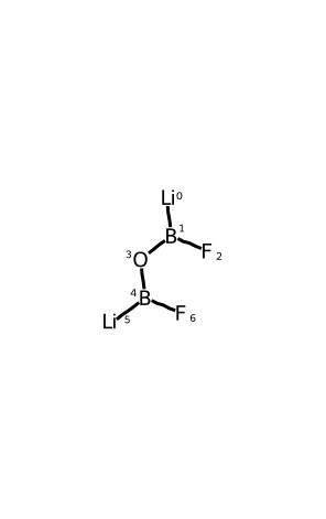 [Li][B](F)O[B]([Li])F